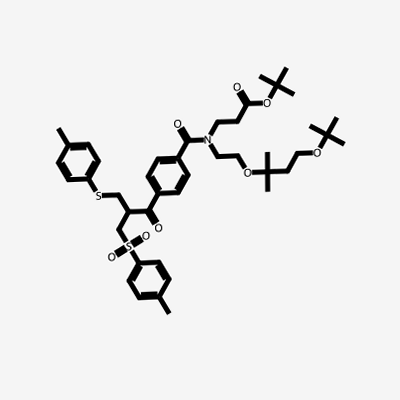 Cc1ccc(SCC(CS(=O)(=O)c2ccc(C)cc2)C(=O)c2ccc(C(=O)N(CCOC(C)(C)CCOC(C)(C)C)CCC(=O)OC(C)(C)C)cc2)cc1